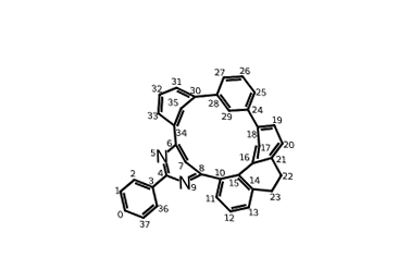 c1ccc(-c2nc3cc(n2)c2cccc4c2c2cc(ccc2CC4)c2cccc(c2)c2cccc3c2)cc1